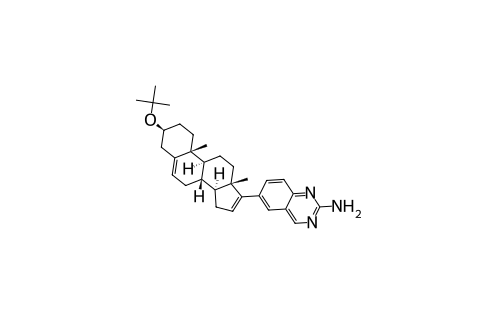 CC(C)(C)O[C@H]1CC[C@@]2(C)C(=CC[C@@H]3[C@@H]2CC[C@]2(C)C(c4ccc5nc(N)ncc5c4)=CC[C@@H]32)C1